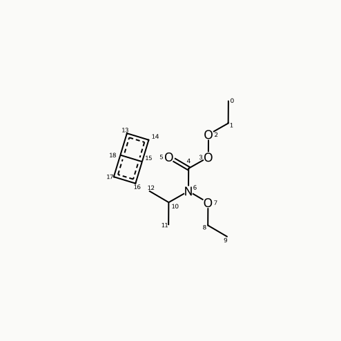 CCOOC(=O)N(OCC)C(C)C.c1cc2ccc1-2